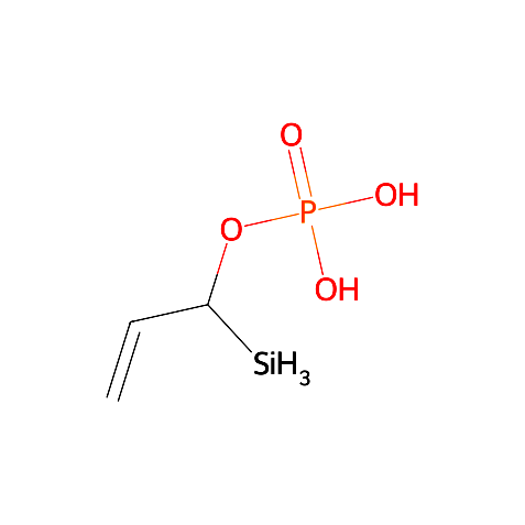 C=CC([SiH3])OP(=O)(O)O